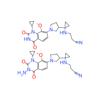 COc1c(N2CCC(C3(NCCC#N)CC3)C2)ccc2c(=O)[nH]c(=O)n(C3CC3)c12.COc1c(N2CCC(C3(NCCC#N)CC3)C2)ccc2c(=O)n(N)c(=O)n(C3CC3)c12